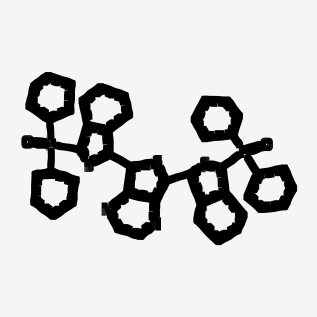 O=P(c1ccccc1)(c1ccccc1)c1sc(-c2sc(-c3sc(P(=O)(c4ccccc4)c4ccccc4)c4ccccc34)c3nccnc23)c2ccccc12